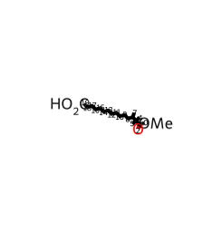 COC(=O)C(C)(C)C(C)CCCCCCCCCCCC(=O)O